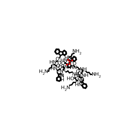 NCCCC[C@@H](NC(=O)[C@@H](Cc1c[nH]c2ccccc12)NC(=O)[C@@H](CCCCN)NC(=O)CNC(=O)[C@@H]1CCCN1C(=O)[C@@H](CCCCN)NC(=O)[C@@H](Cc1c[nH]c2ccccc12)NC(=O)[C@@H](CCCCN)NC(=O)[C@@H](Cc1c[nH]c2ccccc12)NC(=O)[C@@H](CCCCN)NC(=O)OCC1c2ccccc2-c2ccccc21)C(=O)O